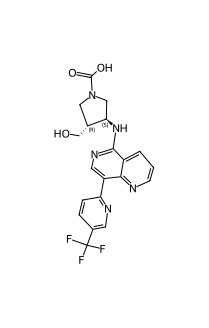 O=C(O)N1C[C@@H](CO)[C@H](Nc2ncc(-c3ccc(C(F)(F)F)cn3)c3ncccc23)C1